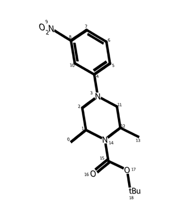 CC1CN(c2cccc([N+](=O)[O-])c2)CC(C)N1C(=O)OC(C)(C)C